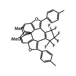 COc1ccc2oc(-c3ccc(C)cc3)c(C3=C(c4c(-c5ccc(C)cc5)oc5ccc(OC)cc45)C(F)(F)C(F)(F)C3(F)F)c2c1